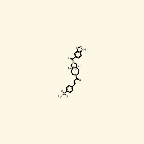 O=C(/C=C/c1ccc(S(=O)(=O)C(F)(F)F)cc1)N1CC[C@@H]2CN(C(=O)c3ccc4[nH]nnc4c3)C[C@@H]2CC1